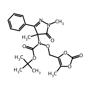 Cc1oc(=O)oc1CON(C(=O)OC(C)(C)C)C1(C)C(=O)N(C)N=C1c1ccccc1